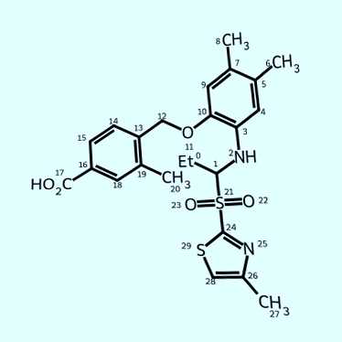 CCC(Nc1cc(C)c(C)cc1OCc1ccc(C(=O)O)cc1C)S(=O)(=O)c1nc(C)cs1